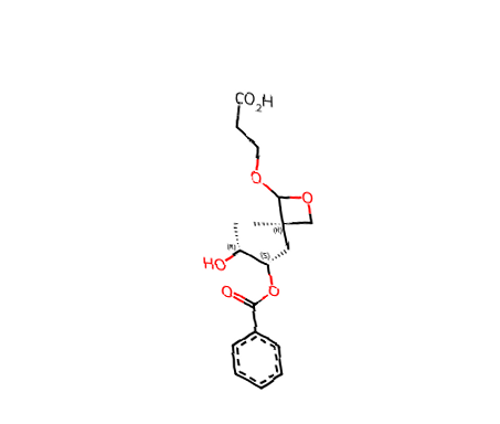 C[C@@H](O)[C@H](C[C@]1(C)COC1OCCC(=O)O)OC(=O)c1ccccc1